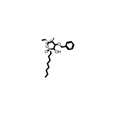 CCCCCCCCP1(=O)O[C@H](CC)[C@@H](C)C(OCc2ccccc2)C1O